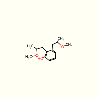 COC(C)Cc1cccc(O)c1CC(C)OC